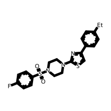 CCc1ccc(-c2csc(N3CCN(S(=O)(=O)c4ccc(F)cc4)CC3)n2)cc1